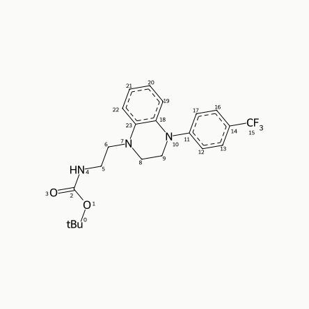 CC(C)(C)OC(=O)NCCN1CCN(c2ccc(C(F)(F)F)cc2)c2ccccc21